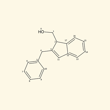 OCC1C(Cc2ccccc2)=Cc2ccccc21